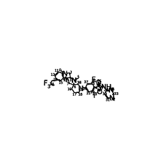 CN1CC(N(C)[C@@]2(CCc3cccc(C(F)(F)F)c3)CCCN(c3cc(F)c(S(=O)(=O)Nc4ccncn4)c(F)c3)C2)C1